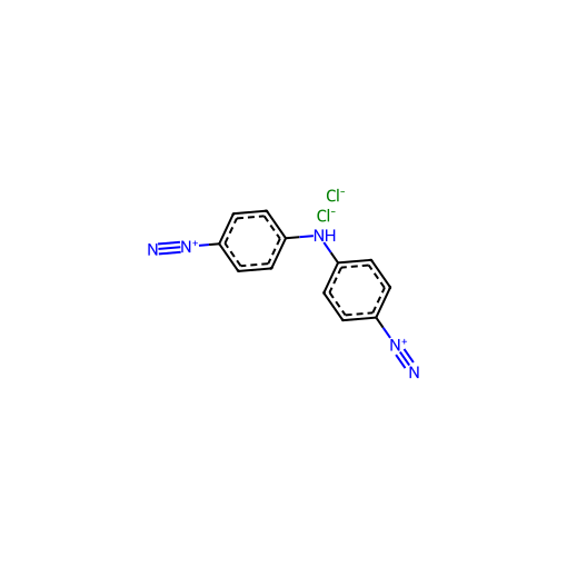 N#[N+]c1ccc(Nc2ccc([N+]#N)cc2)cc1.[Cl-].[Cl-]